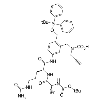 C#CCN(Cc1cc(NC(=O)[C@H](CCCNC(N)=O)NC(=O)[C@@H](NC(=O)OC(C)(C)C)C(C)C)ccc1CO[Si](c1ccccc1)(c1ccccc1)C(C)(C)C)C(=O)O